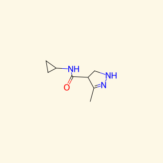 CC1=NNCC1C(=O)NC1CC1